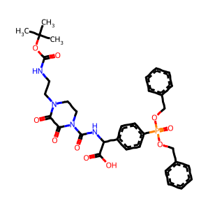 CC(C)(C)OC(=O)NCCN1CCN(C(=O)NC(C(=O)O)c2ccc(P(=O)(OCc3ccccc3)OCc3ccccc3)cc2)C(=O)C1=O